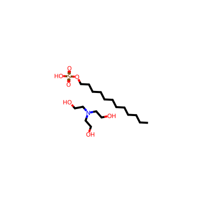 CCCCCCCCCCCCOS(=O)(=O)O.OCCN(CCO)CCO